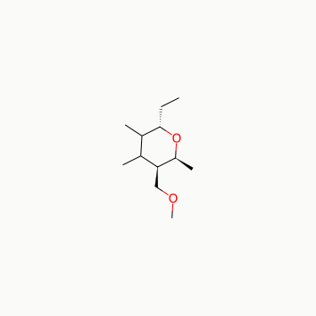 CC[C@@H]1O[C@@H](C)[C@@H](COC)C(C)C1C